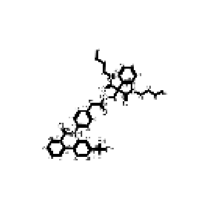 CCCCNC(=O)C(COC(=O)Cc1ccc(NC(=O)c2ccccc2-c2ccc(C(F)(F)F)cc2)cc1)(C(=O)NCCCC)c1ccccc1